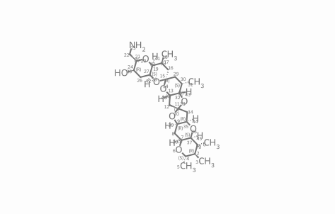 C[C@@H]1[C@@H](C)[C@H](C)O[C@H]2C[C@H]3O[C@@]4(C[C@@H]5O[C@]6(C[C@H](C)[C@@H]7O[C@H](CN)[C@H](O)C[C@@H]7O6)C[C@H](C)[C@@H]5O4)C[C@H]3O[C@@H]12